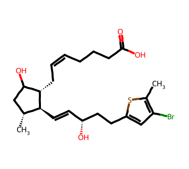 Cc1sc(CC[C@H](O)/C=C/[C@H]2[C@H](C)CC(O)[C@@H]2C/C=C\CCCC(=O)O)cc1Br